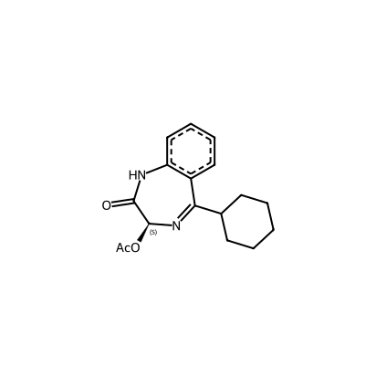 CC(=O)O[C@@H]1N=C(C2CCCCC2)c2ccccc2NC1=O